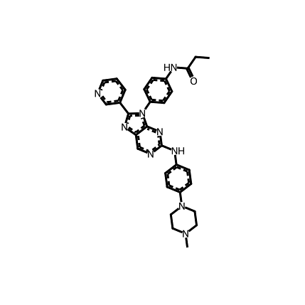 CCC(=O)Nc1ccc(-n2c(-c3cccnc3)nc3cnc(Nc4ccc(N5CCN(C)CC5)cc4)nc32)cc1